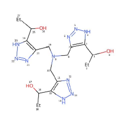 CCC(O)c1[nH]nnc1CN(Cc1nn[nH]c1C(O)CC)Cc1nn[nH]c1C(O)CC